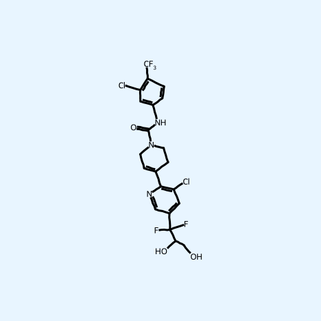 O=C(Nc1ccc(C(F)(F)F)c(Cl)c1)N1CC=C(c2ncc(C(F)(F)C(O)CO)cc2Cl)CC1